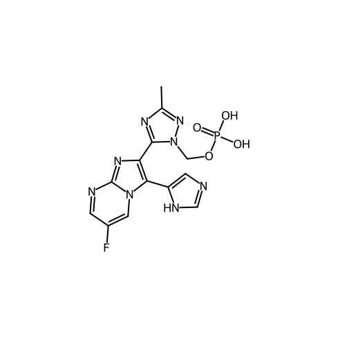 Cc1nc(-c2nc3ncc(F)cn3c2-c2cnc[nH]2)n(COP(=O)(O)O)n1